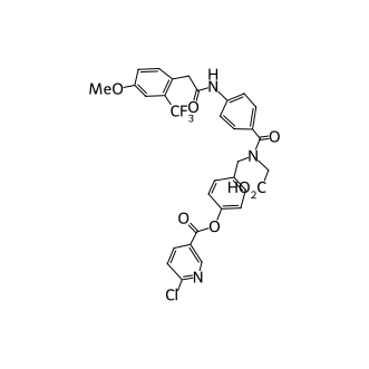 COc1ccc(CC(=O)Nc2ccc(C(=O)N(CC(=O)O)Cc3ccc(OC(=O)c4ccc(Cl)nc4)cc3)cc2)c(C(F)(F)F)c1